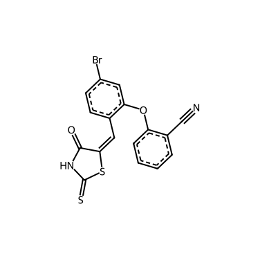 N#Cc1ccccc1Oc1cc(Br)ccc1C=C1SC(=S)NC1=O